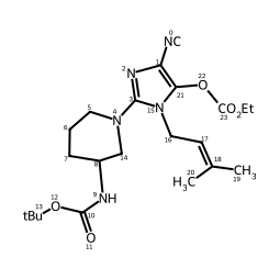 [C-]#[N+]c1nc(N2CCCC(NC(=O)OC(C)(C)C)C2)n(CC=C(C)C)c1OC(=O)OCC